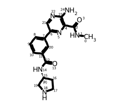 CNC(=O)c1nc(-c2cccc(C(=O)N[C@@H]3CCNC3)c2)cnc1N